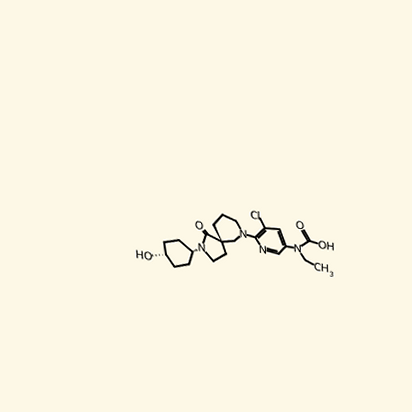 CCN(C(=O)O)c1cnc(N2CCC[C@]3(CCN([C@H]4CC[C@@H](O)CC4)C3=O)C2)c(Cl)c1